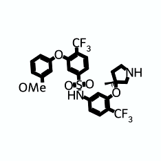 COc1cccc(Oc2cc(S(=O)(=O)Nc3ccc(C(F)(F)F)c(O[C@]4(C)CCNC4)c3)ccc2C(F)(F)F)c1